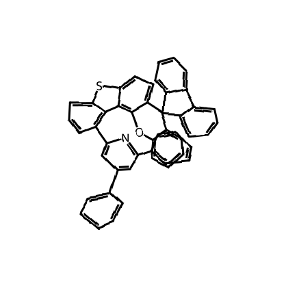 c1ccc(-c2cc(-c3ccccc3)nc(-c3cccc4sc5ccc6c(c5c34)Oc3ccccc3C63c4ccccc4-c4ccccc43)c2)cc1